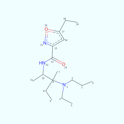 CCCN(CC)C(C)(CC)C(C)NC(=O)c1cc(CC)on1